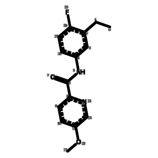 CCc1cc(NC(=O)c2ccc(OC)cn2)ccc1F